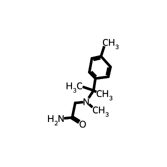 Cc1ccc(C(C)(C)N(C)CC(N)=O)cc1